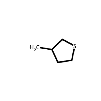 [CH2]C1CCSC1